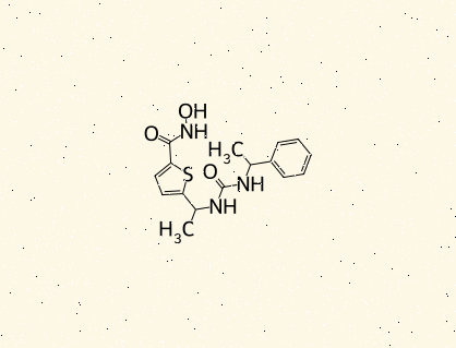 CC(NC(=O)NC(C)c1ccc(C(=O)NO)s1)c1ccccc1